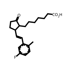 Cc1ccc(F)cc1C=CC1CCC(=O)C1CCCCCCC(=O)O